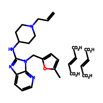 C=CCN1CCC(Nc2nc3cccnc3n2Cc2ccc(C)o2)CC1.O=C(O)C=CC(=O)O.O=C(O)C=CC(=O)O